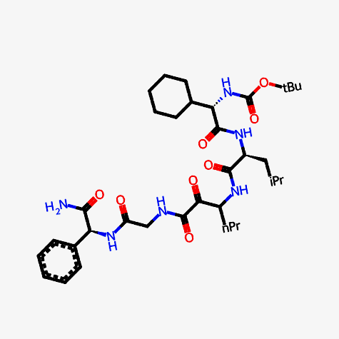 CCCC(NC(=O)[C@H](CC(C)C)NC(=O)[C@@H](NC(=O)OC(C)(C)C)C1CCCCC1)C(=O)C(=O)NCC(=O)N[C@H](C(N)=O)c1ccccc1